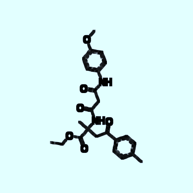 CCOC(=O)C(C)(CC(=O)c1ccc(C)cc1)NC(=O)CC(=O)Nc1ccc(OC)cc1